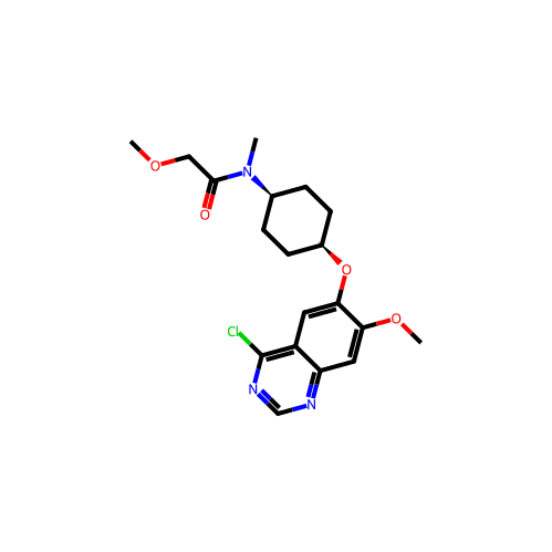 COCC(=O)N(C)[C@H]1CC[C@@H](Oc2cc3c(Cl)ncnc3cc2OC)CC1